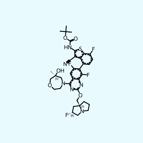 CC(C)(C)OC(=O)Nc1sc2c(F)ccc(-c3c(F)cc4c(N5CCOC[C@@](C)(O)C5)nc(OC[C@@]56CCCN5C[C@H](F)C6)nc4c3F)c2c1C#N